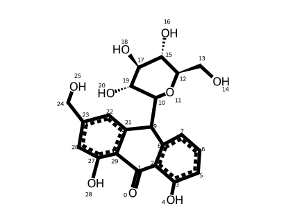 O=C1c2c(O)cccc2C(C2O[C@H](CO)[C@@H](O)[C@H](O)[C@H]2O)c2cc(CO)cc(O)c21